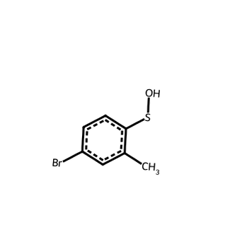 Cc1cc(Br)ccc1SO